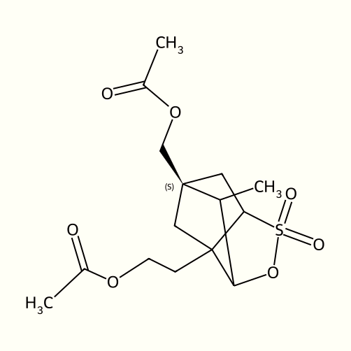 CC(=O)OCCC12C[C@]3(COC(C)=O)CC1S(=O)(=O)OC2C3C